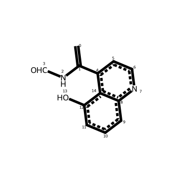 C=C(NC=O)c1ccnc2cccc(O)c12